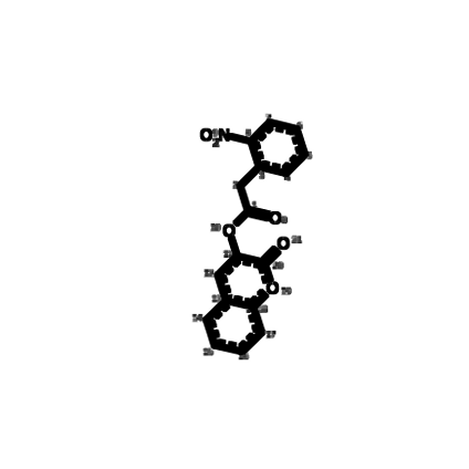 O=C(Cc1ccccc1[N+](=O)[O-])Oc1cc2ccccc2oc1=O